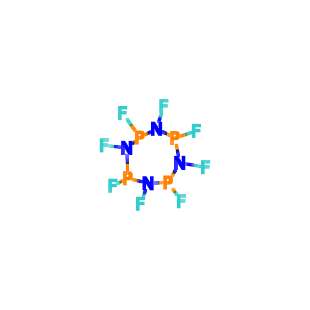 FN1P(F)N(F)P(F)N(F)P(F)N(F)P1F